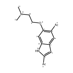 CC(=O)c1cc2cc(C(C)=O)c(OCCN(C)C)cc2[nH]1